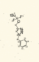 CC(C)(C)C(F)(F)OCc1cn(Cc2ccccc2)nn1